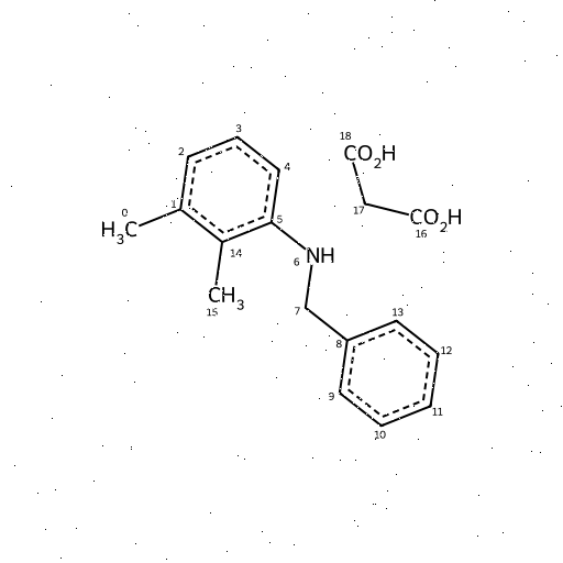 Cc1cccc(NCc2ccccc2)c1C.O=C(O)CC(=O)O